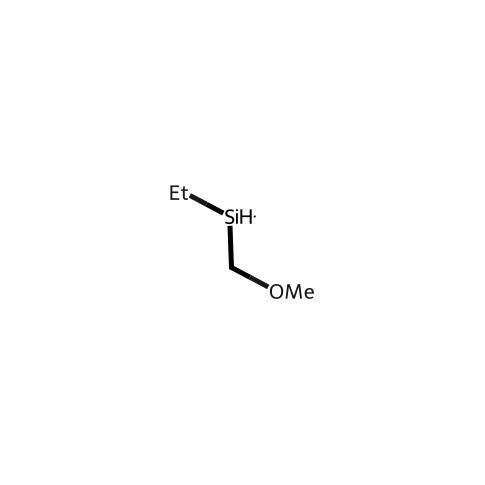 CC[SiH]COC